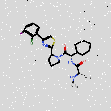 CN[C@@H](C)C(=O)N[C@H](C(=O)N1CCC[C@H]1c1nc(-c2cccc(I)c2Cl)cs1)C1CCCCC1